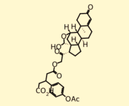 CC(=O)Oc1ccc(C(CC(=O)O)CC(=O)OCC(=O)[C@H]2CC[C@H]3[C@@H]4CCC5=CC(=O)CC[C@]5(C)[C@H]4[C@@H]4C[C@]23C(O)O4)cc1